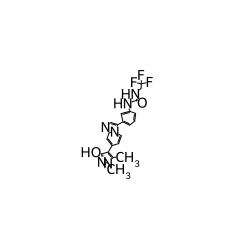 Cc1c(-c2ccn3c(-c4cccc(NC(=O)NCC(F)(F)F)c4)cnc3c2)c(O)nn1C